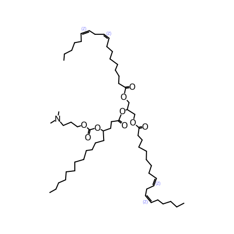 CCCCC/C=C\C/C=C\CCCCCCCC(=O)OCC(COC(=O)CCCCCCC/C=C\C/C=C\CCCCC)OC(=O)CCC(CCCCCCCCCCCC)OC(=O)OCCCN(C)C